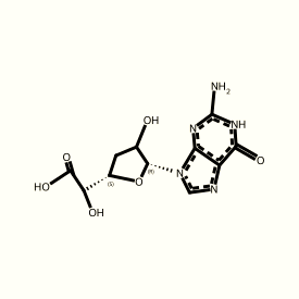 Nc1nc2c(ncn2[C@@H]2O[C@H](C(O)C(=O)O)CC2O)c(=O)[nH]1